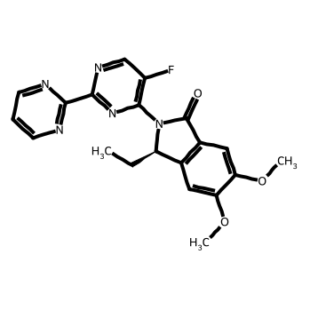 CC[C@@H]1c2cc(OC)c(OC)cc2C(=O)N1c1nc(-c2ncccn2)ncc1F